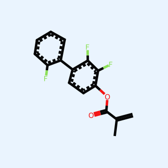 C=C(C)C(=O)Oc1ccc(-c2ccccc2F)c(F)c1F